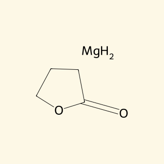 O=C1CCCO1.[MgH2]